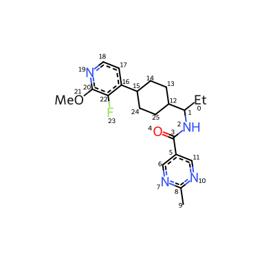 CCC(NC(=O)c1cnc(C)nc1)C1CCC(c2ccnc(OC)c2F)CC1